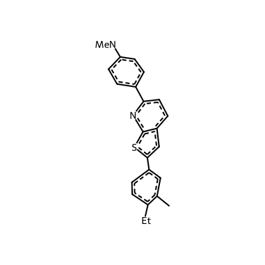 CCc1ccc(-c2cc3ccc(-c4ccc(NC)cc4)nc3s2)cc1C